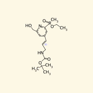 CCOP(C)(=O)c1cc(/C=C/CNC(=O)OC(C)(C)C)cc(CO)n1